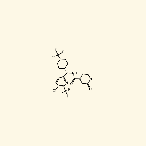 O=C1CN(C(=O)NC(c2ccc(Cl)c(C(F)(F)F)n2)[C@H]2CC[C@H](C(F)(F)F)CC2)CCN1